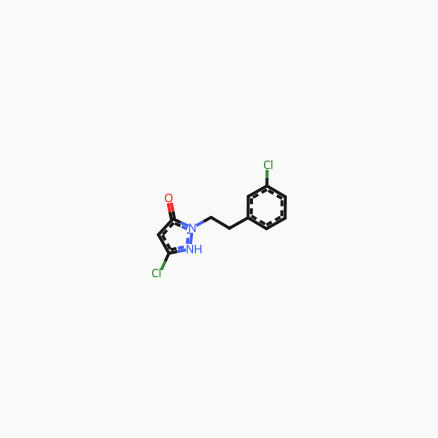 O=c1cc(Cl)[nH]n1CCc1cccc(Cl)c1